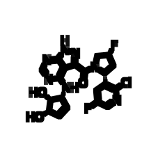 O=C(c1n[nH]c2ncnc(N[C@@H]3C=C[C@@H](O)[C@H]3O)c12)N1C[C@@H](F)C[C@@H]1c1cc(F)cnc1Cl